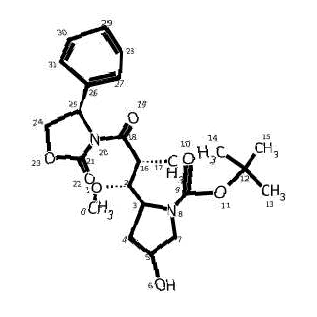 CO[C@@H](C1CC(O)CN1C(=O)OC(C)(C)C)[C@@H](C)C(=O)N1C(=O)OC[C@H]1c1ccccc1